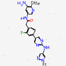 CCn1cc(Nc2ncc(-c3ccc(CC(=O)Nc4cnc(OC)c(N)c4)c(F)c3)cn2)cn1